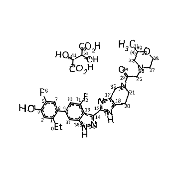 CCc1cc(O)c(F)cc1-c1cc(F)c2c(-c3nc4c([nH]3)CCN(C(=O)CN3CCO[C@H](C)C3)C4)n[nH]c2c1.O=C(O)C(O)C(O)C(=O)O